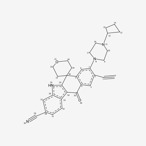 C#Cc1cc2c(cc1N1CCN(C3CCC3)CC1)C1(CCOCC1)c1[nH]c3cc(C#N)ccc3c1C2=O